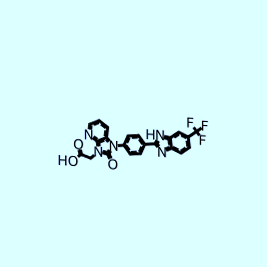 O=C(O)Cn1c(=O)n(-c2ccc(-c3nc4ccc(C(F)(F)F)cc4[nH]3)cc2)c2cccnc21